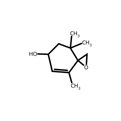 CC1=CC(O)CC(C)(C)C12CO2